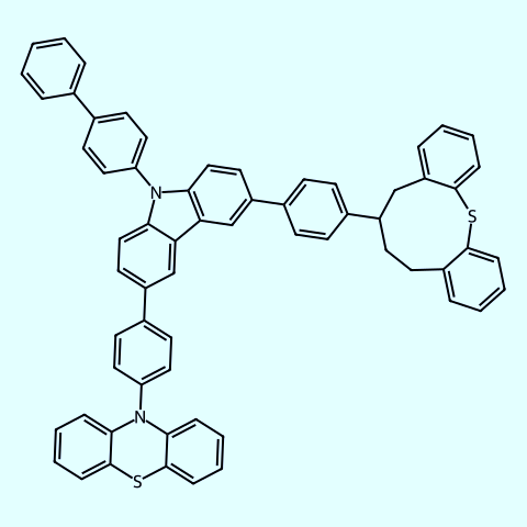 c1ccc(-c2ccc(-n3c4ccc(-c5ccc(C6CCc7ccccc7Sc7ccccc7C6)cc5)cc4c4cc(-c5ccc(N6c7ccccc7Sc7ccccc76)cc5)ccc43)cc2)cc1